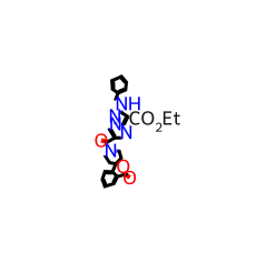 CCOC(=O)c1c(NCc2ccccc2)nn2cc(C(=O)N3CCC4(CC3)OC(=O)c3ccccc34)cnc12